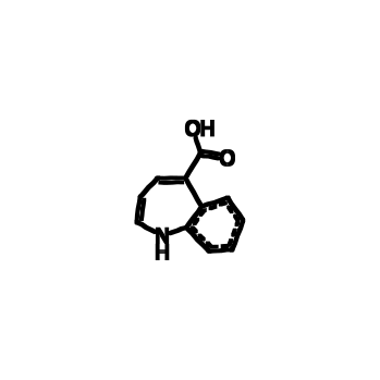 O=C(O)C1=CC=CNc2ccccc21